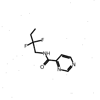 CCC(F)(F)CNC(=O)c1ccncn1